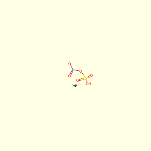 O=[N+]([O-])OS(=O)(=O)O.[Pd+2]